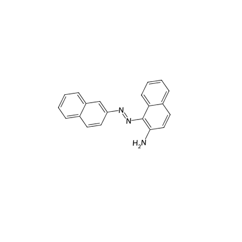 Nc1ccc2ccccc2c1N=Nc1ccc2ccccc2c1